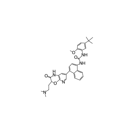 COc1ccc(C(C)(C)C)cc1NC(=O)Nc1ccc(-c2cnc3c(c2)NC(=O)C(CCN(C)C)O3)c2ccccc12